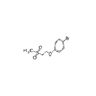 CS(=O)(=O)CCOc1ccc(Br)cc1